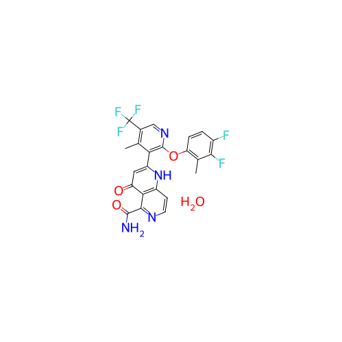 Cc1c(Oc2ncc(C(F)(F)F)c(C)c2-c2cc(=O)c3c(C(N)=O)nccc3[nH]2)ccc(F)c1F.O